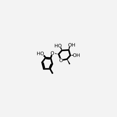 Cc1ccc(O)c(O[C@H]2O[C@H](C)[C@@H](O)[C@H](O)[C@@H]2O)c1